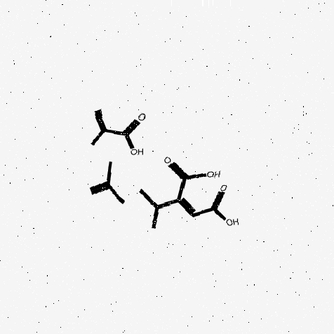 C=C(C)C.C=C(C)C(=O)O.CC(C)C(=CC(=O)O)C(=O)O